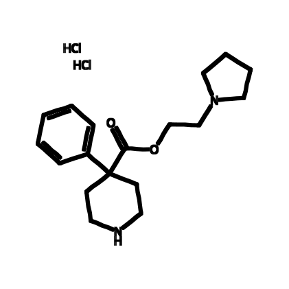 Cl.Cl.O=C(OCCN1CCCC1)C1(c2ccccc2)CCNCC1